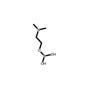 CN(C)CCOB(O)O